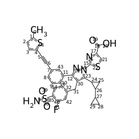 Cc1ccc(C#Cc2cccc(-c3nn(-c4nc(C(=O)O)cs4)c(C4CC4C4CC4)c3Cc3ccc(S(N)(=O)=O)c(F)c3)c2)s1